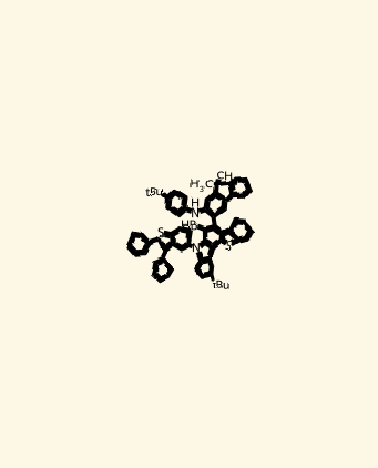 CC(C)(C)c1ccc(Nc2cc3c(cc2-c2c4c5c(c6cc(C(C)(C)C)ccc6n5-c5cc6c(-c7ccccc7)c(-c7ccccc7)sc6cc5B4)c4sc5ccccc5c24)-c2ccccc2C3(C)C)cc1